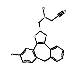 CN(CC#N)C[C@H]1CC2=C(O1)c1cc(F)ccc1Cc1ccccc12